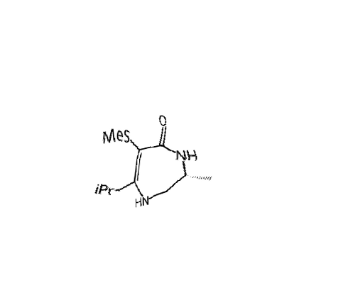 CSC1=C(C(C)C)NC[C@@H](C)NC1=O